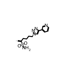 [CH]=C(CCCCn1cc(-c2cccnc2)nn1)S(N)(=O)=O